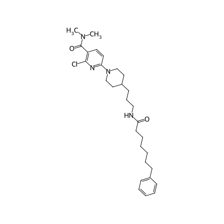 CN(C)C(=O)c1ccc(N2CCC(CCCNC(=O)CCCCCCc3ccccc3)CC2)nc1Cl